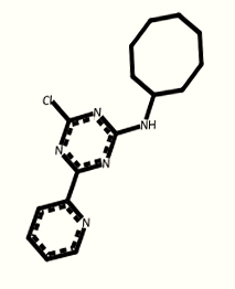 Clc1nc(NC2CCCCCCC2)nc(-c2ccccn2)n1